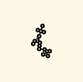 c1ccc(-c2c3ccccc3c(-c3ccc(-n4c5ccc6ccccc6c5c5c6cc7cccc(-c8ccc9c(c8)C(c8ccccc8)(c8ccccc8)c8ccccc8-9)c7cc6ccc54)cc3)c3ccccc23)cc1